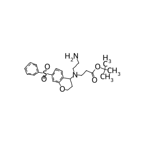 CC(C)(C)OC(=O)CCN(CCN)C1CCOc2cc(S(=O)(=O)c3ccccc3)ccc21